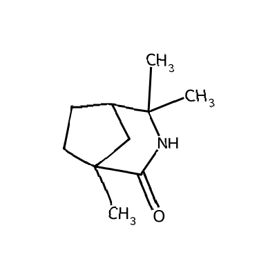 CC12CCC(C1)C(C)(C)NC2=O